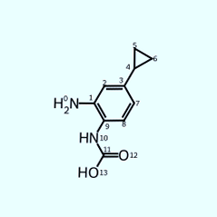 Nc1cc(C2CC2)ccc1NC(=O)O